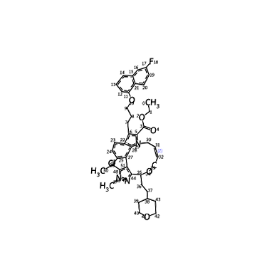 CCOC(=O)c1c(CCCOc2cccc3cc(F)ccc23)c2ccc(Cl)c3c2n1C/C=C\COC(CCC1CCOCC1)c1nn(C)c(CC)c1-3